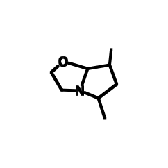 CC1CC(C)N2CCOC12